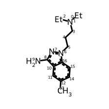 CCN(CC)CCCn1nc(N)c2cc(C)ccc21